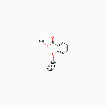 O=C(OI)c1ccccc1OI.[NaH].[NaH].[NaH].[NaH]